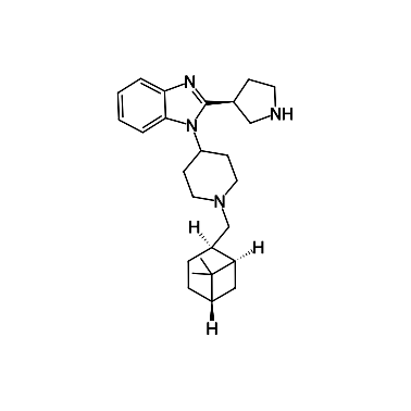 CC1(C)[C@H]2CC[C@@H](CN3CCC(n4c([C@H]5CCNC5)nc5ccccc54)CC3)[C@H]1C2